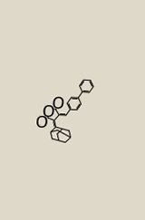 O=C1OC(=O)C(=C2C3CC4CC(C3)CC2C4)C1=Cc1ccc(-c2ccccc2)cc1